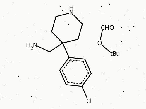 CC(C)(C)OC=O.NCC1(c2ccc(Cl)cc2)CCNCC1